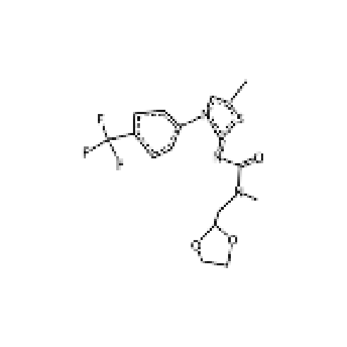 Cc1cn(-c2ccc(C(F)(F)F)cc2)c(=NC(=O)N(C)CC2OCCO2)s1